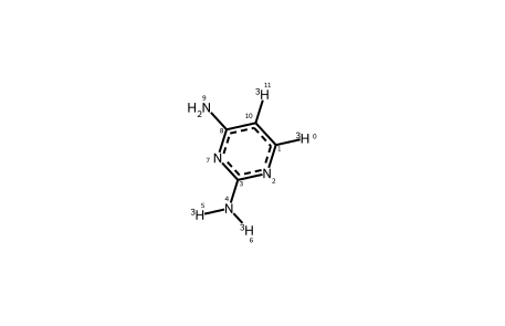 [3H]c1nc(N([3H])[3H])nc(N)c1[3H]